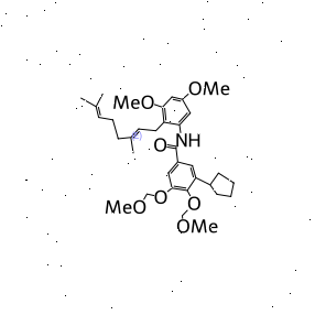 COCOc1cc(C(=O)Nc2cc(OC)cc(OC)c2C/C=C(\C)CCC=C(C)C)cc(C2CCCC2)c1OCOC